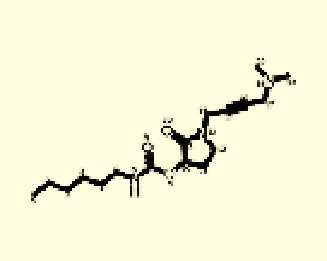 CCCCCCNC(=O)OC1CCN(CC#CCN(C)C)C1=O